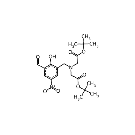 CC(C)(C)OC(=O)CN(CC(=O)OC(C)(C)C)Cc1cc([N+](=O)[O-])cc(C=O)c1O